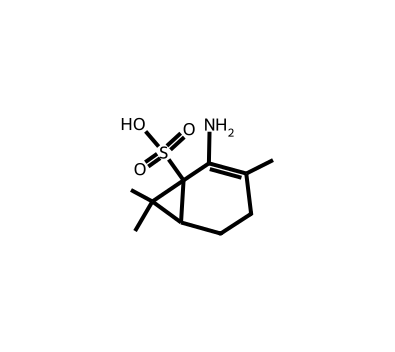 CC1=C(N)C2(S(=O)(=O)O)C(CC1)C2(C)C